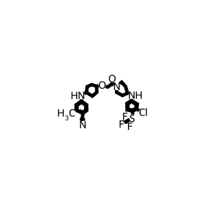 Cc1cc(NC2CCC(OCC(=O)N3CCC(Nc4ccc(SC(F)(F)F)c(Cl)c4)CC3)CC2)ccc1C#N